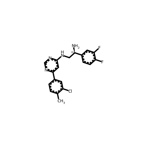 Cc1ccc(-c2cc(NC[C@@H](N)c3ccc(F)c(F)c3)ncn2)cc1Cl